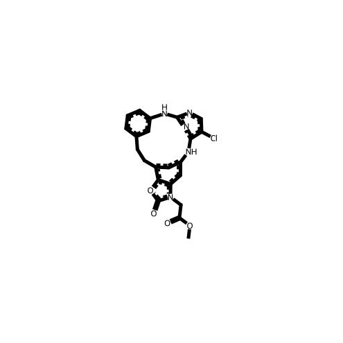 COC(=O)Cn1c(=O)oc2c3cc(cc21)Nc1nc(ncc1Cl)Nc1cccc(c1)CC3